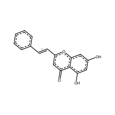 O=c1cc(/C=C/c2ccccc2)oc2cc(O)cc(O)c12